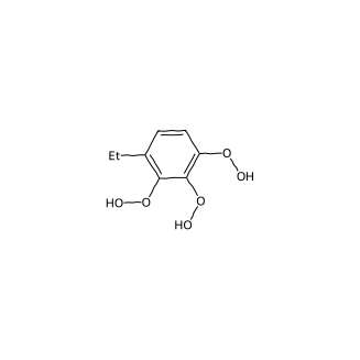 CCc1ccc(OO)c(OO)c1OO